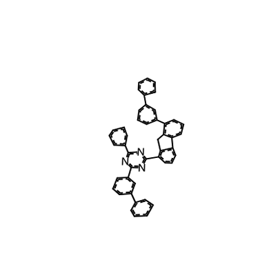 c1ccc(-c2cccc(-c3nc(-c4ccccc4)nc(-c4cccc5c4Cc4c(-c6cccc(-c7ccccc7)c6)cccc4-5)n3)c2)cc1